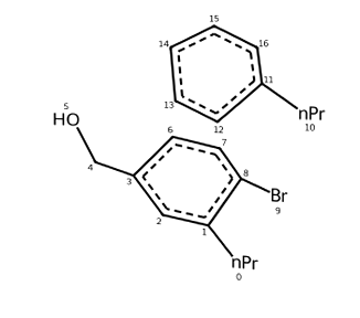 CCCc1cc(CO)ccc1Br.CCCc1ccccc1